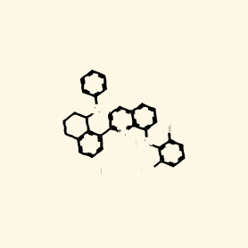 CC(C)c1cccc(C(C)C)c1Nc1cccc2ccc(-c3cccc4c3C(Nc3ccccc3)CCC4)nc12.[Hf]